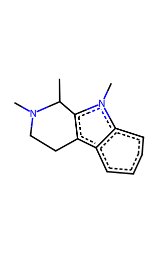 CC1c2c(c3ccccc3n2C)CCN1C